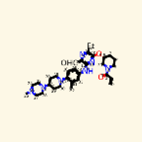 C=CC(=O)N1CCC[C@@H](Oc2nc(Nc3ccc(N4CCC(N5CCN(C)CC5)CC4)c(C)c3)c(C=O)nc2CC)C1